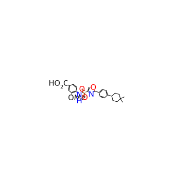 COc1cc(C(=O)O)ccc1NS(=O)(=O)c1coc(-c2ccc(C3CCC(C)(C)CC3)cc2)n1